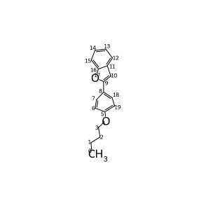 CCCCOc1ccc(-c2cc3ccccc3o2)cc1